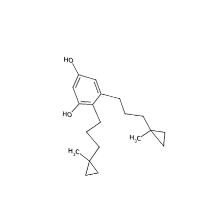 CC1(CCCc2cc(O)cc(O)c2CCCC2(C)CC2)CC1